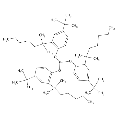 CCCCCC(C)(C)c1cc(C(C)(C)C)ccc1OP(Oc1ccc(C(C)(C)C)cc1C(C)(C)CCCCC)Oc1ccc(C(C)(C)C)cc1C(C)(C)CCCCC